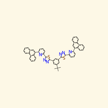 CC(C)(C)c1cc(-c2nnc(-c3cccc(-c4cc5ccccc5c5ccccc45)n3)s2)cc(-c2nnc(-c3cccc(-c4cc5ccccc5c5ccccc45)n3)s2)c1